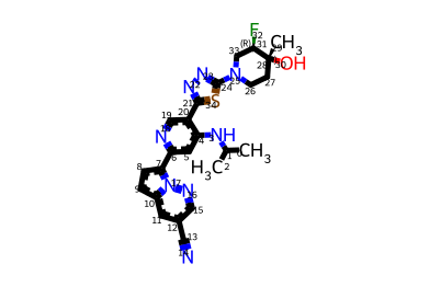 CC(C)Nc1cc(-c2ccc3cc(C#N)cnn23)ncc1-c1nnc(N2CC[C@@](C)(O)[C@H](F)C2)s1